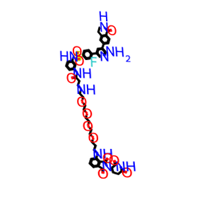 Nc1ncc(-c2ccc(S(=O)(=O)Nc3cccc(NC(=O)CCNCCOCCOCCOCCOCCCNc4cccc5c4C(=O)N(C4CCC(=O)NC4=O)C5=O)c3)cc2F)cc1-c1ccc2c(c1)CCNC2=O